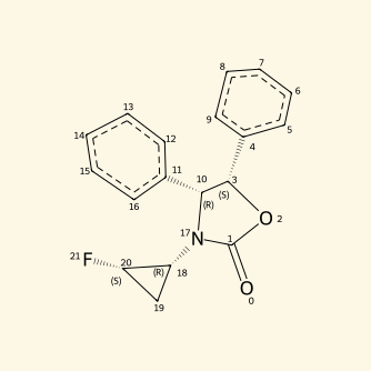 O=C1O[C@@H](c2ccccc2)[C@@H](c2ccccc2)N1[C@@H]1C[C@@H]1F